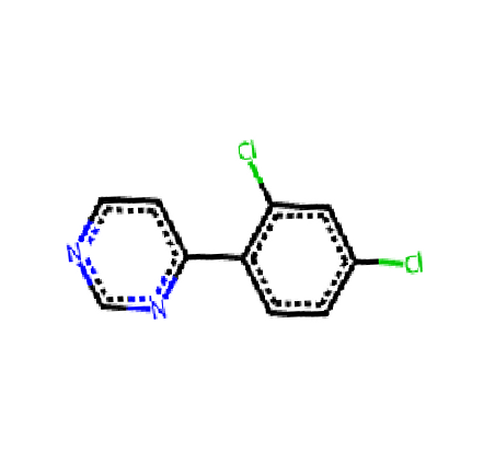 Clc1ccc(-c2ccncn2)c(Cl)c1